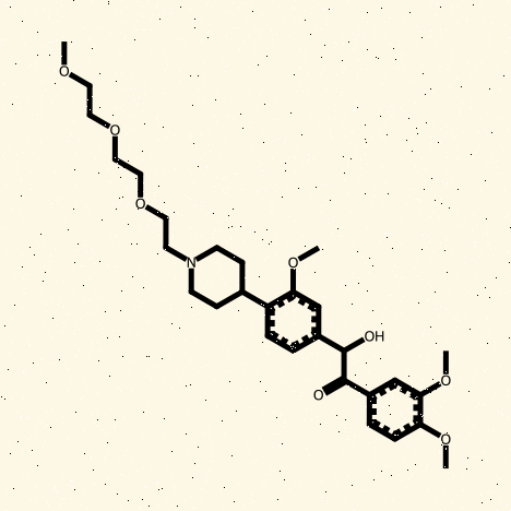 COCCOCCOCCN1CCC(c2ccc(C(O)C(=O)c3ccc(OC)c(OC)c3)cc2OC)CC1